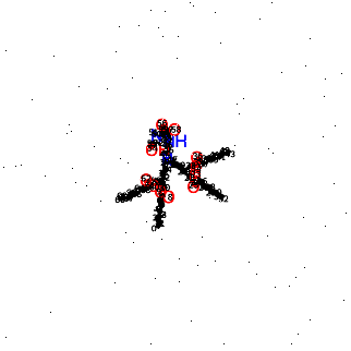 CCCCCCCC(=O)OCC(CCCCN(CCCCC(COC(=O)CCCCCCC)COC(=O)CCCCCCC)CCCNc1c(N(C)CCO)c(=O)c1=O)COC(=O)CCCCCCC